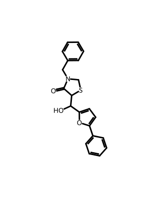 O=C1C(C(O)c2ccc(-c3ccccc3)o2)SCN1Cc1ccccc1